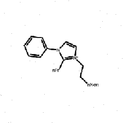 CCCCCCCCCCC[n+]1ccn(-c2ccccc2)c1CCC